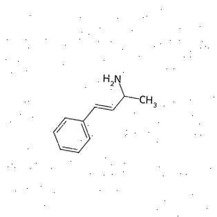 CC(N)/C=C/c1ccccc1